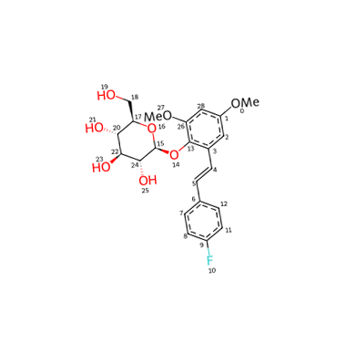 COc1cc(/C=C/c2ccc(F)cc2)c(O[C@@H]2O[C@H](CO)[C@@H](O)[C@H](O)[C@H]2O)c(OC)c1